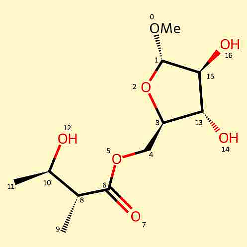 CO[C@H]1O[C@H](COC(=O)[C@H](C)[C@@H](C)O)[C@@H](O)[C@@H]1O